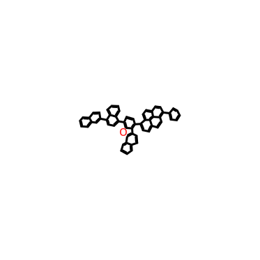 c1ccc(-c2ccc3ccc4c(-c5ccc(-c6ccc(-c7ccc8ccccc8c7)c7ccccc67)c6oc7c8ccccc8ccc7c56)ccc5ccc2c3c54)cc1